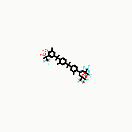 Cc1cc(C(C)(C)c2ccc(C(C)(C)c3cc(C)c(O)c(C(C)(O)C(F)(F)F)c3)c(C)c2)ccc1/C(=C/C(O)(C(F)(F)F)C(F)(F)F)CC(O)(C(F)(F)F)C(F)(F)F